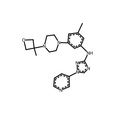 Cc1cc(Nc2ncn(-c3cccnc3)n2)cc(N2CCN(C3(C)COC3)CC2)c1